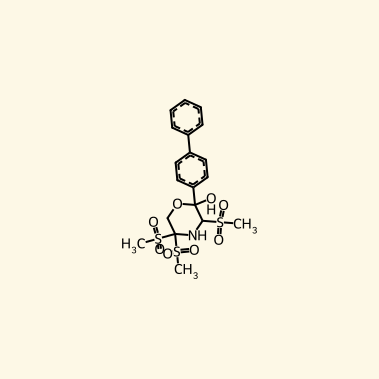 CS(=O)(=O)C1NC(S(C)(=O)=O)(S(C)(=O)=O)COC1(O)c1ccc(-c2ccccc2)cc1